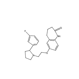 O=C1CCCc2cc(OCCN3CCCC3c3cccc(F)c3)ccc2N1